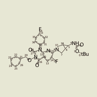 CC(C)(C)OC(=O)NC1C2CN(c3nc4c(cc3F)c(=O)n(OCc3ccccc3)c(=O)n4-c3ccc(F)cc3)CC21